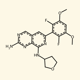 COc1cc(OC)c(F)c(-c2cc3cnc(N)nc3c(NC3CCOC3)n2)c1F